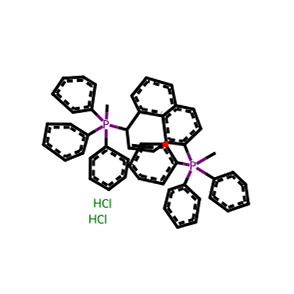 CP(c1ccccc1)(c1ccccc1)(c1ccccc1)c1ccc2cccc3c2c1C=CC3P(C)(c1ccccc1)(c1ccccc1)c1ccccc1.Cl.Cl